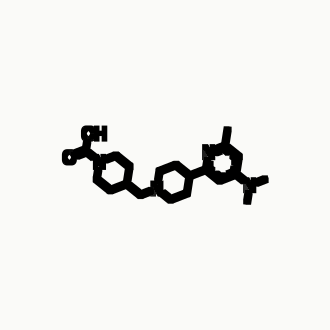 Cc1cc(N(C)C)cc(C2CCN(CC3CCN(C(=O)O)CC3)CC2)n1